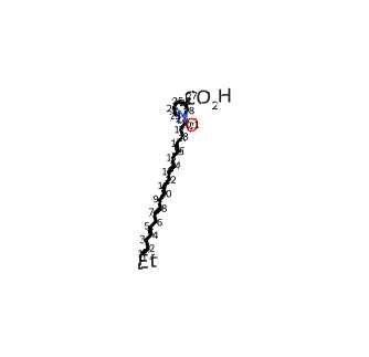 CCC=CCC=CCC=CCC=CCC=CCC=CCCC(=O)N1CCCC(C(=O)O)C1